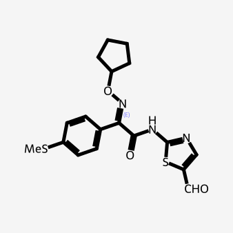 CSc1ccc(/C(=N\OC2CCCC2)C(=O)Nc2ncc(C=O)s2)cc1